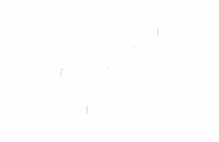 FC(F)C12CC(I)(C1)C2